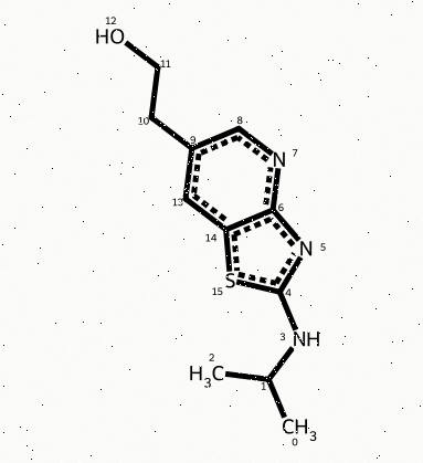 CC(C)Nc1nc2ncc(CCO)cc2s1